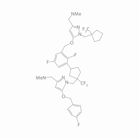 CNCc1cc(OCc2cc(F)cc(C3CCC(Cn4nc(CNC)cc4OCc4ccc(F)cc4)(C(F)(F)F)C3)c2F)n(CC2(C(F)(F)F)CCCC2)n1